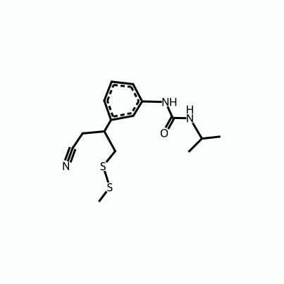 CSSCC(CC#N)c1cccc(NC(=O)NC(C)C)c1